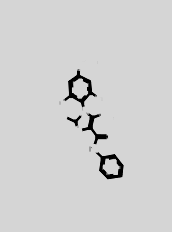 CC1SC(C(=O)Nc2ccccc2)=C(C(F)(F)F)N1c1c(Br)cc(OC(F)(F)F)cc1Br